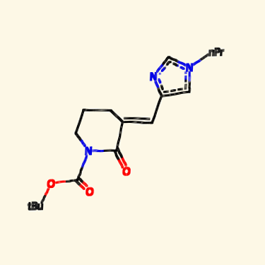 CCCn1cnc(/C=C2\CCCN(C(=O)OC(C)(C)C)C2=O)c1